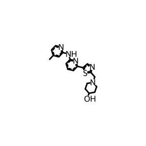 Cc1ccnc(Nc2cccc(-c3cnc(CN4CCC(O)CC4)s3)n2)c1